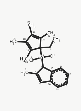 CC[C]1([Zr]([Cl])([Cl])[CH]2C(C)=Cc3ccccc32)C(C)=C(C)C(C)=C1C